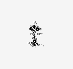 Cc1sc2c(c1C)C(c1ccc(Cl)cc1)=N[C@@H](CC(=O)NCCCC(=O)Nc1ccc(C(=O)N(C)C)c(C#CCN)c1)c1nnc(C)n1-2.Cl